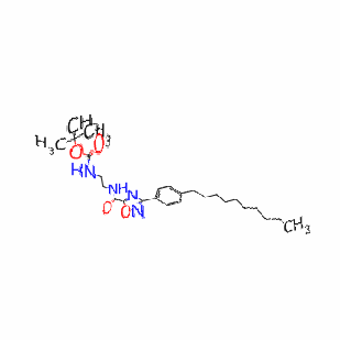 CCCCCCCCCCc1ccc(-c2noc(C(=O)NCCNC(=O)OC(C)(C)C)n2)cc1